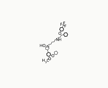 COc1ccc(C2CC(O)N(CCCCCNCCC(Oc3ccc(C(F)(F)F)cc3)c3ccccc3)C2)cc1OC1CCCC1